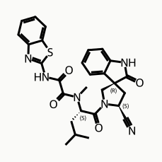 CC(C)C[C@@H](C(=O)N1C[C@]2(C[C@H]1C#N)C(=O)Nc1ccccc12)N(C)C(=O)C(=O)Nc1nc2ccccc2s1